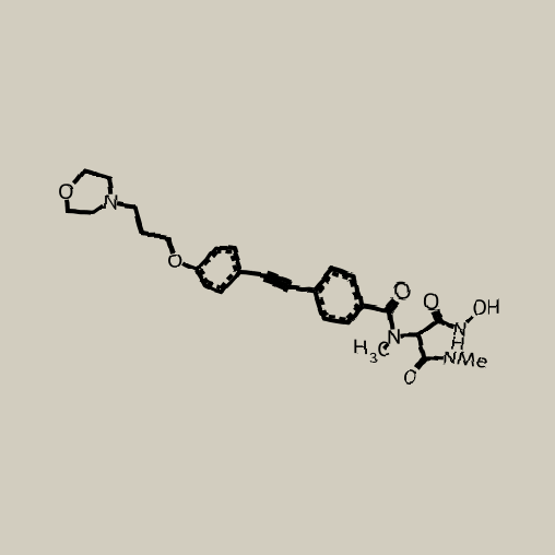 CNC(=O)C(C(=O)NO)N(C)C(=O)c1ccc(C#Cc2ccc(OCCCN3CCOCC3)cc2)cc1